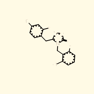 O=c1onc(Cc2ccc(F)cc2F)n1Cc1c(F)cccc1Cl